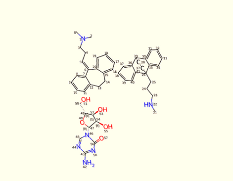 CN(C)CCC=C1c2ccccc2CCc2ccccc21.CNCCCC12CCC(c3ccccc31)c1ccccc12.Nc1ncn([C@@H]2O[C@H](CO)[C@@H](O)[C@H]2O)c(=O)n1